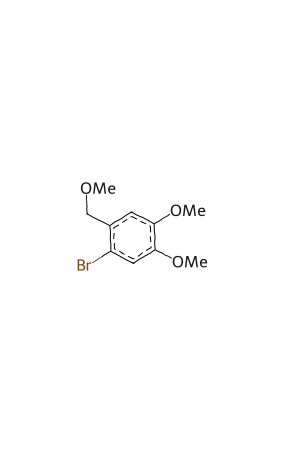 COCc1cc(OC)c(OC)cc1Br